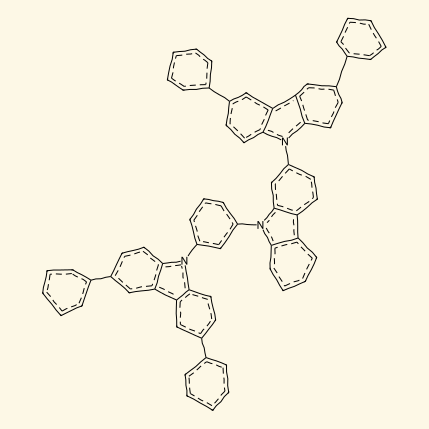 c1ccc(-c2ccc3c(c2)c2cc(-c4ccccc4)ccc2n3-c2cccc(-n3c4ccccc4c4ccc(-n5c6ccc(-c7ccccc7)cc6c6cc(-c7ccccc7)ccc65)cc43)c2)cc1